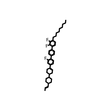 C/C=C/C1CCC(C2CC=C(c3ccc(-c4ccc(-c5ccc(CCCCCCCCC)c(F)c5F)cc4)c(F)c3)CC2)CC1